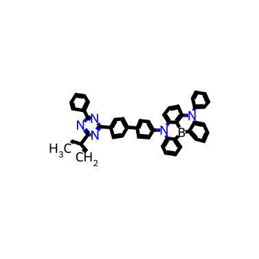 C=CC(CC)c1nc(-c2ccccc2)nc(-c2ccc(-c3ccc(N4c5ccccc5B5c6ccccc6N(c6ccccc6)c6cccc4c65)cc3)cc2)n1